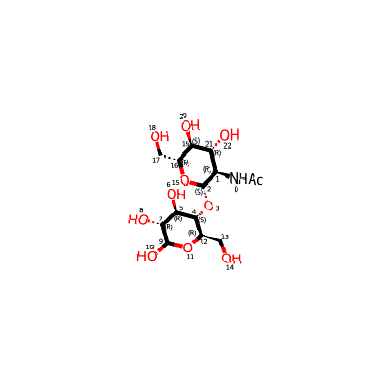 CC(=O)N[C@H]1[C@H](O[C@H]2[C@H](O)[C@@H](O)C(O)O[C@@H]2CO)O[C@H](CO)[C@@H](O)[C@@H]1O